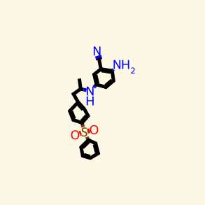 CC(Cc1ccc(S(=O)(=O)c2ccccc2)cc1)Nc1ccc(N)c(C#N)c1